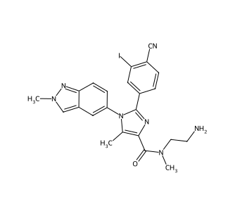 Cc1c(C(=O)N(C)CCN)nc(-c2ccc(C#N)c(I)c2)n1-c1ccc2nn(C)cc2c1